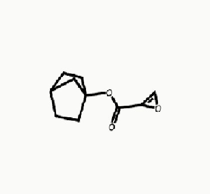 O=C(OC12CCC(CC1)C2)C1=CO1